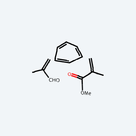 C=C(C)C(=O)OC.C=C(C)C=O.c1ccccc1